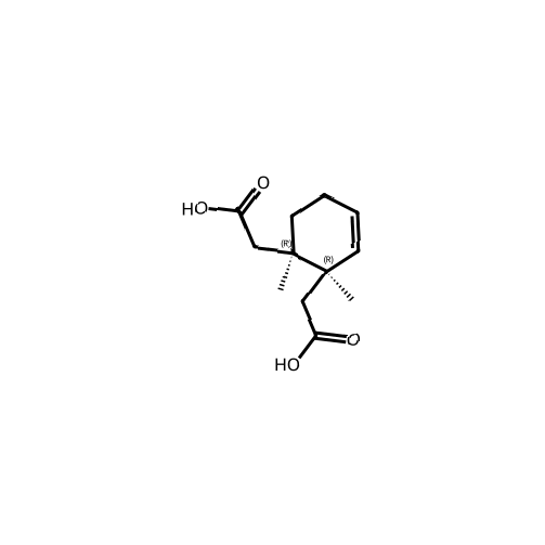 C[C@]1(CC(=O)O)CCC=C[C@@]1(C)CC(=O)O